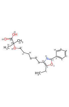 CCc1oc(-c2ccccc2)nc1CCCCCCOC(C)(C)C(=O)O